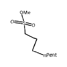 CCCCCCCCS(=O)(=O)OC